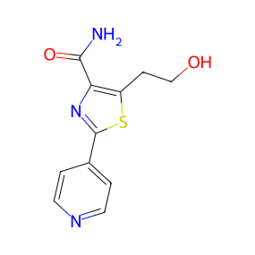 NC(=O)c1nc(-c2ccncc2)sc1CCO